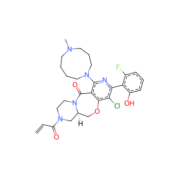 C=CC(=O)N1CCN2C(=O)c3c(N4CCCCN(C)CCC4)nc(-c4c(O)cccc4F)c(Cl)c3OC[C@H]2C1